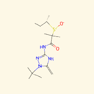 C=C1NC(NC(=O)C(C)(C)[S+]([O-])[C@@H](C)CC)=NN1C(C)(C)C